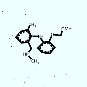 COCOc1ccccc1Pc1c(C)cccc1CPC